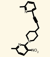 Cc1cccc(C#CCC2CCN(c3nc(C)ccc3[N+](=O)[O-])CC2)n1